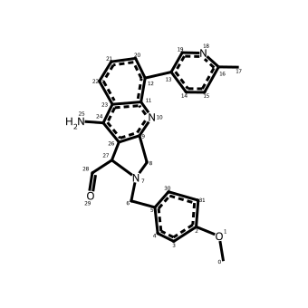 COc1ccc(CN2Cc3nc4c(-c5ccc(C)nc5)cccc4c(N)c3C2C=O)cc1